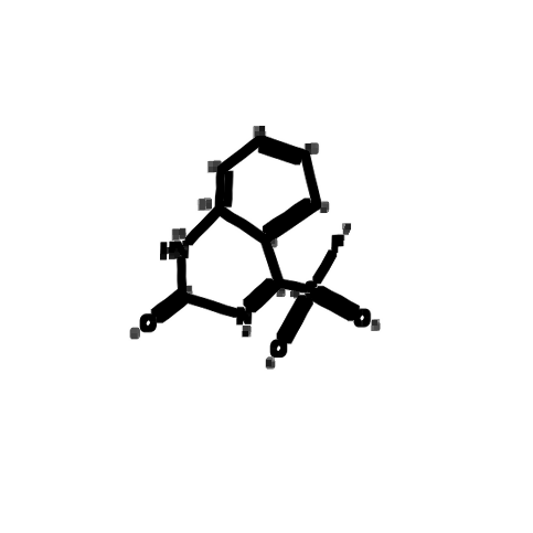 O=c1nc(S(=O)(=O)F)c2ccccc2[nH]1